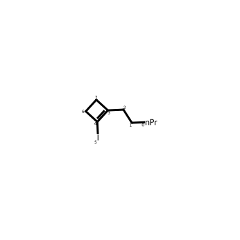 CCCCCC1=C(I)CC1